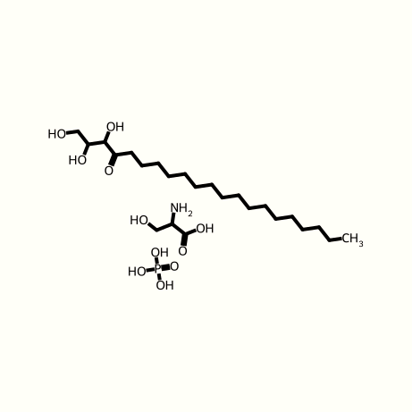 CCCCCCCCCCCCCCCCCC(=O)C(O)C(O)CO.NC(CO)C(=O)O.O=P(O)(O)O